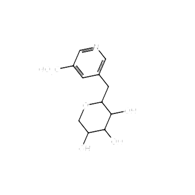 O=C(O)c1cncc(CC2OCC(O)C(O)C2O)c1